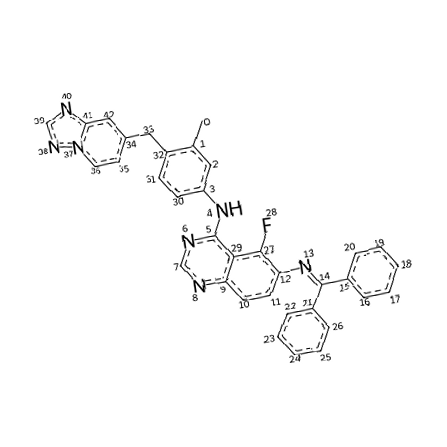 Cc1cc(Nc2ncnc3ccc(N=C(c4ccccc4)c4ccccc4)c(F)c23)ccc1Cc1ccn2ncnc2c1